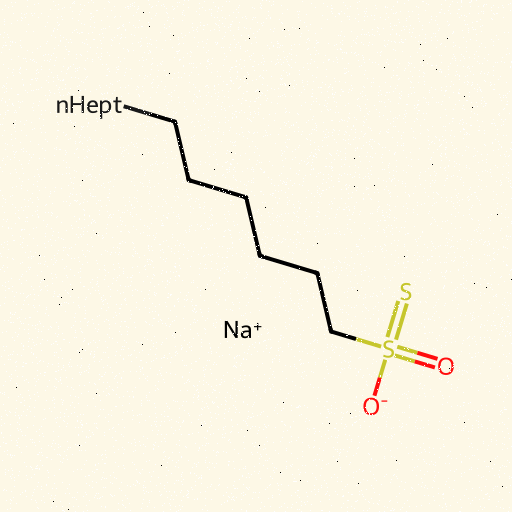 CCCCCCCCCCCCCS(=O)([O-])=S.[Na+]